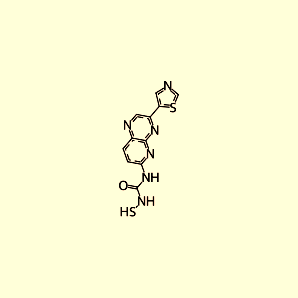 O=C(NS)Nc1ccc2ncc(-c3cncs3)nc2n1